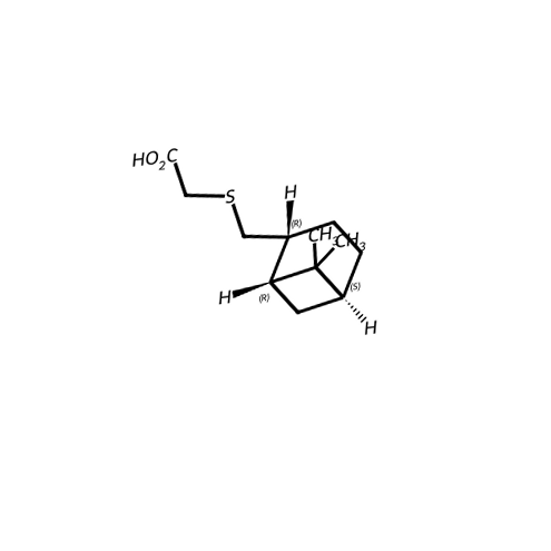 CC1(C)[C@H]2CC[C@@H](CSCC(=O)O)[C@H]1C2